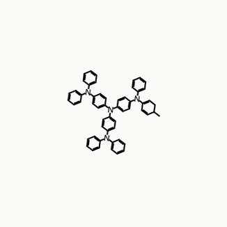 CC1C=CC(N(c2ccccc2)c2ccc(N(c3ccc(N(c4ccccc4)c4ccccc4)cc3)c3ccc(N(c4ccccc4)c4ccccc4)cc3)cc2)=CC1